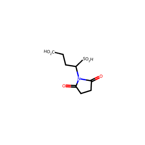 O=C(O)CCC(N1C(=O)CCC1=O)S(=O)(=O)O